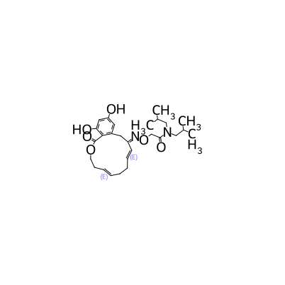 CC(C)CN(CC(C)C)C(=O)CON=C1/C=C/CC/C=C/CCOC(=O)c2c(O)cc(O)cc2C1